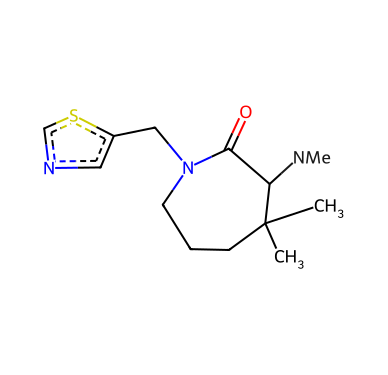 CNC1C(=O)N(Cc2cncs2)CCCC1(C)C